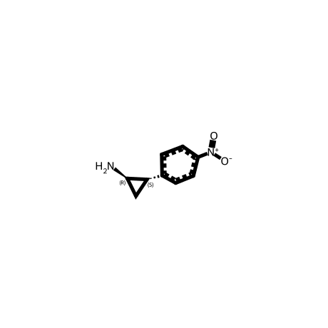 N[C@@H]1C[C@H]1c1ccc([N+](=O)[O-])cc1